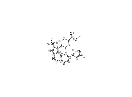 COC(=O)C1CCC(c2c([Si](C)(C)C)[nH]c3ncc4ccc(-c5cnn(C)c5)cc4c23)CC1